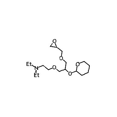 CCN(CC)CCOCC(COCC1CO1)OC1CCCCO1